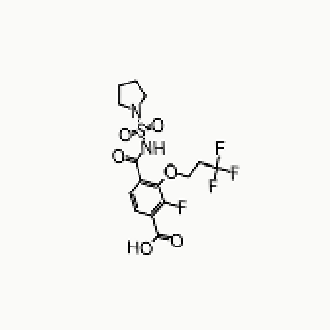 O=C(O)c1ccc(C(=O)NS(=O)(=O)N2CCCC2)c(OCCC(F)(F)F)c1F